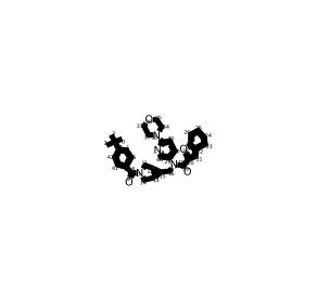 CC(C)(C)c1ccc(C(=O)N2CC3C(C2)C3CN(C(=O)c2cc3ccccc3o2)c2ccc(N3CCOCC3)nc2)cc1